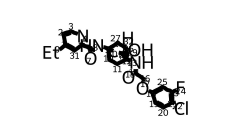 CCc1ccnc(C(=O)NC23CCC(NC(=O)COc4ccc(Cl)c(F)c4)(CC2)[C@@H](O)C3)c1